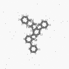 c1ccc(-c2cccc3c2sc2cc4c5ccccc5n5c6nc7ccccc7nc6c(c23)c45)cc1